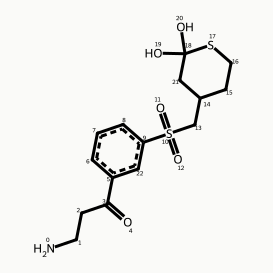 NCCC(=O)c1cccc(S(=O)(=O)CC2CCSC(O)(O)C2)c1